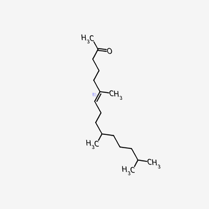 CC(=O)CCC/C(C)=C/CCC(C)CCCC(C)C